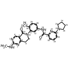 CNc1ncc2c(n1)CCN(c1cc(NC(=O)c3cccc(N4CCCC4)n3)ccc1C)C2=O